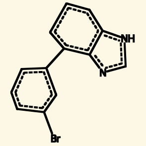 Brc1cccc(-c2cccc3[nH]cnc23)c1